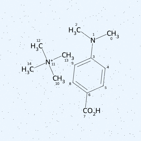 CN(C)c1ccc(C(=O)O)cc1.C[N+](C)(C)C